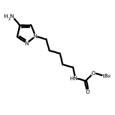 CC(C)(C)OC(=O)NCCCCCn1cc(N)cn1